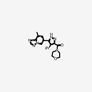 Cc1cc(-c2[nH]nc(C(=O)N3CCOCC3)c2C(C)C)cn2ncnc12